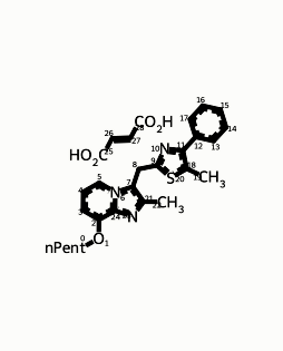 CCCCCOc1cccn2c(Cc3nc(-c4ccccc4)c(C)s3)c(C)nc12.O=C(O)/C=C/C(=O)O